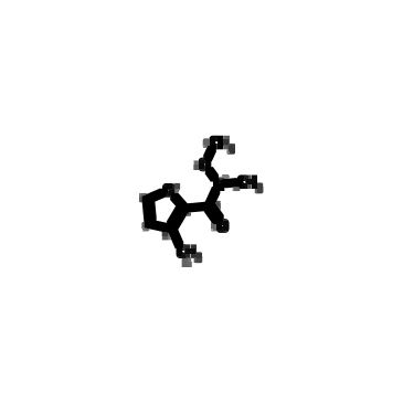 CON(C)C(=O)c1occc1C